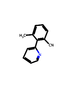 Cc1cccc(C#N)c1-c1ccccn1